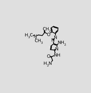 C=C(CCN(C)C)Oc1ccccc1/N=N/c1ccc(NC(=O)CN)nc1N